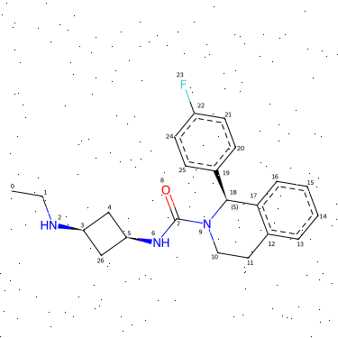 CCN[C@H]1C[C@@H](NC(=O)N2CCc3ccccc3[C@@H]2c2ccc(F)cc2)C1